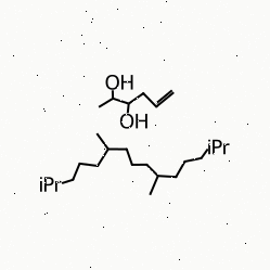 C=CCC(O)C(C)O.CC(C)CCCC(C)CCCC(C)CCCC(C)C